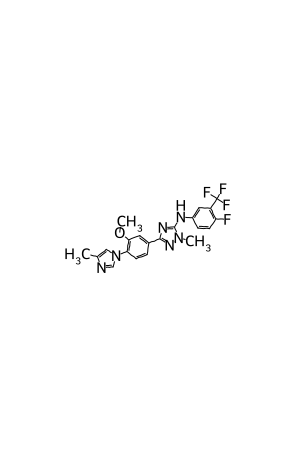 COc1cc(-c2nc(Nc3ccc(F)c(C(F)(F)F)c3)n(C)n2)ccc1-n1cnc(C)c1